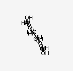 O=C(NCCCCNC(=O)NCCOCCOCCOCCNS(=O)(=O)c1ccc(O)cc1)NCCOCCOCCOCCNS(=O)(=O)c1ccc(O)cc1